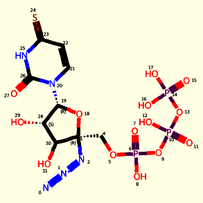 [N-]=[N+]=N[C@]1(COP(=O)(O)OP(=O)(O)OP(=O)(O)O)O[C@@H](n2ccc(=S)[nH]c2=O)[C@@H](O)C1O